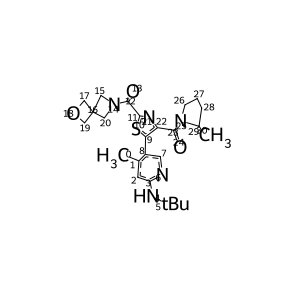 Cc1cc(NC(C)(C)C)ncc1-c1sc(C(=O)N2CC3(COC3)C2)nc1C(=O)N1CCC[C@@H]1C